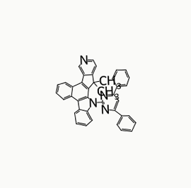 CC1(C)c2ccncc2-c2c1c1c(c3ccccc23)c2ccccc2n1-c1nc(-c2ccccc2)cc(-c2ccccc2)n1